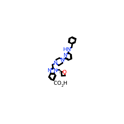 O=C(O)c1ccc2nc(CN3CCN(c4cccc(NCc5ccccc5)n4)CC3)n(C[C@@H]3CCO3)c2c1